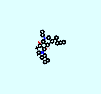 Cc1cccc(N(c2cc3oc4cc(-c5ccc(-c6ccccc6-c6cccc7cc8ccccc8cc67)cc5)cc5c6cc(N(c7ccccc7)c7ccc8ccccc8c7)cc7oc8cc(C(C)(C)C)cc(c(c2)c3c45)c8c76)c2ccc(-c3cccc4ccccc34)c3ccccc23)c1